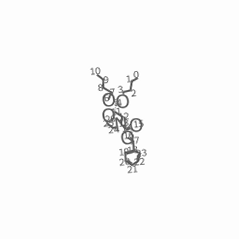 CCCCOC(OCCCC)[C@@H]1CN(C(=O)OCc2ccccc2)CCO1